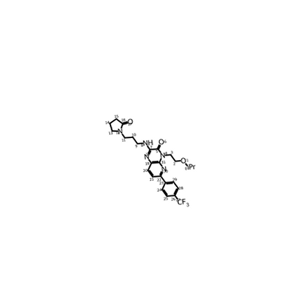 CC(C)OCCn1c(=O)c(NCCCN2CCCC2=O)nc2ccc(-c3ccc(C(F)(F)F)cc3)nc21